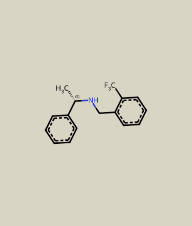 C[C@H](NCc1ccccc1C(F)(F)F)c1ccccc1